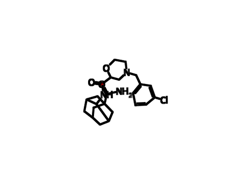 NC(=O)C12CC3CC(C1)C(NC(=O)C1CN(Cc4cccc(Cl)c4)CCO1)C(C3)C2